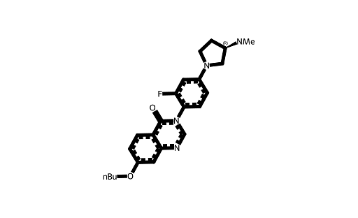 CCCCOc1ccc2c(=O)n(-c3ccc(N4CC[C@@H](NC)C4)cc3F)cnc2c1